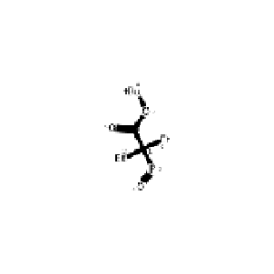 CCC(CC)(P=O)C(=O)OC(C)(C)C